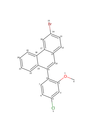 COc1cc(Cl)ccc1-c1cc2ccc(Br)cc2c2ccccc12